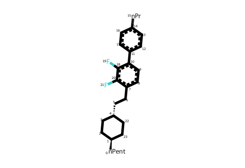 CCCCC[C@H]1CC[C@H](CCc2ccc(-c3ccc(CCC)cc3)c(F)c2F)CC1